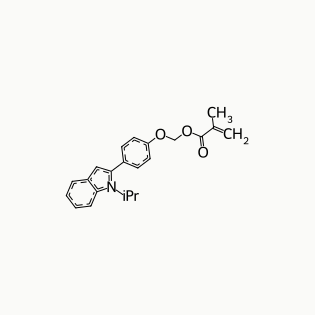 C=C(C)C(=O)OCOc1ccc(-c2cc3ccccc3n2C(C)C)cc1